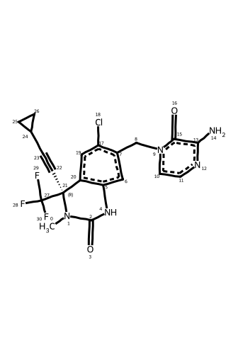 CN1C(=O)Nc2cc(Cn3ccnc(N)c3=O)c(Cl)cc2[C@]1(C#CC1CC1)C(F)(F)F